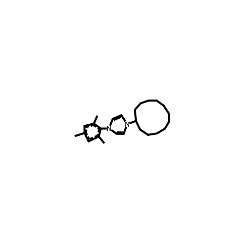 Cc1cc(C)c(N2C=CN(C3CCCCCCCCCCC3)C=C2)c(C)c1